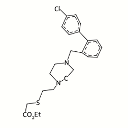 CCOC(=O)CSCCN1CCN(Cc2ccccc2-c2ccc(Cl)cc2)CC1